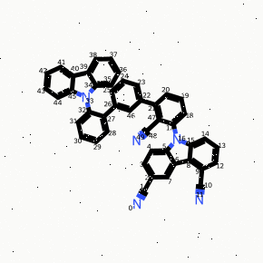 N#Cc1ccc2c(c1)c1c(C#N)cccc1n2-c1cccc(-c2cccc(-c3ccccc3-n3c4ccccc4c4ccccc43)c2)c1C#N